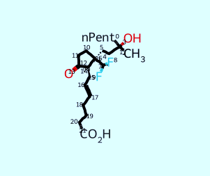 CCCCCC(C)(O)CC[C@@]1([C](F)F)CCC(=O)[C@@H]1CC=CCCCC(=O)O